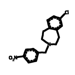 O=[N+]([O-])c1ccc(CN2CCc3ccc(Cl)cc3CC2)cc1